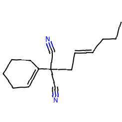 CCCC=CCC(C#N)(C#N)C1=CCCCC1